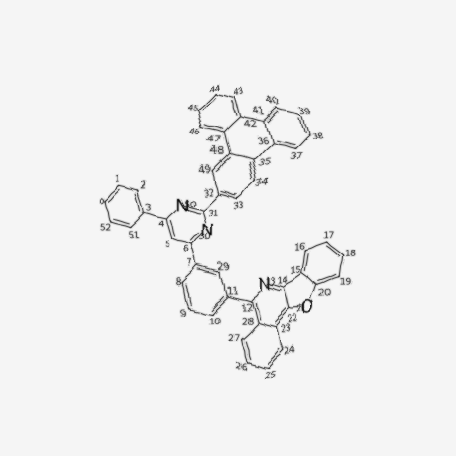 c1ccc(-c2cc(-c3cccc(-c4nc5c6ccccc6oc5c5ccccc45)c3)nc(-c3ccc4c5ccccc5c5ccccc5c4c3)n2)cc1